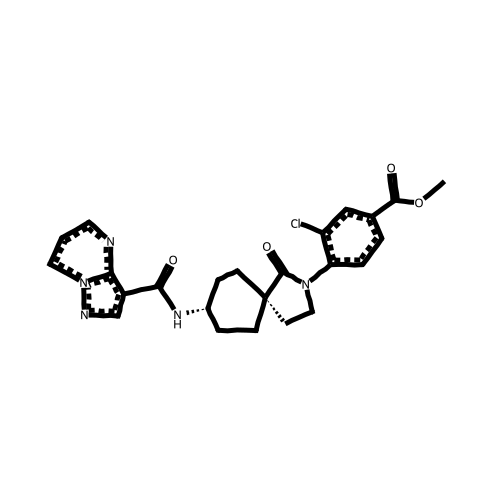 COC(=O)c1ccc(N2CC[C@]3(CC[C@@H](NC(=O)c4cnn5cccnc45)CC3)C2=O)c(Cl)c1